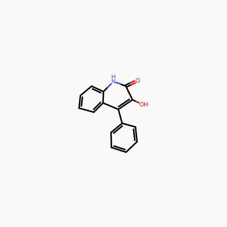 O=c1[nH]c2ccccc2c(-c2ccccc2)c1O